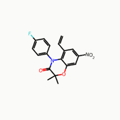 C=Cc1cc([N+](=O)[O-])cc2c1N(c1ccc(F)cc1)C(=O)C(C)(C)O2